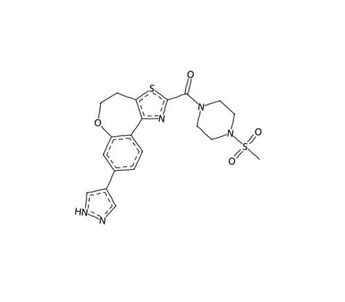 CS(=O)(=O)N1CCN(C(=O)c2nc3c(s2)CCOc2cc(-c4cn[nH]c4)ccc2-3)CC1